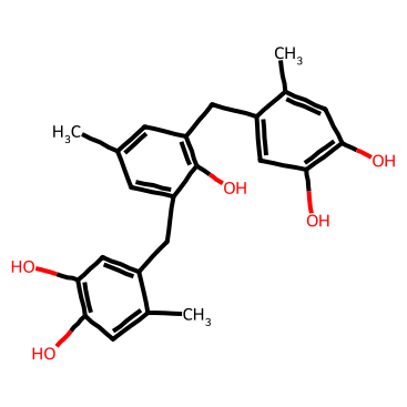 Cc1cc(Cc2cc(O)c(O)cc2C)c(O)c(Cc2cc(O)c(O)cc2C)c1